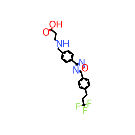 O=C(O)CCNCc1ccc(-c2noc(-c3ccc(CCC(F)(F)F)cc3)n2)cc1